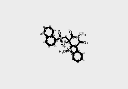 CN1C(=O)c2c(n(C)c3ccccc23)C(C)(CS(=O)(=O)c2cccc3ncccc23)C1=O